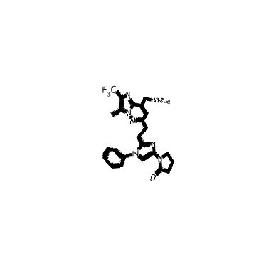 CNCc1cc(CCc2nc(N3CCCC3=O)cn2-c2ccccc2)nn2c(C)c(C(F)(F)F)nc12